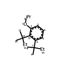 [CH2]C(C)Oc1cccc(C(C)(C)CC)c1C(C)(C)CC